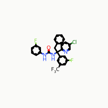 O=C(Nc1cccc(F)c1)NC(Cc1ccccc1)(c1cc(F)cc(C(F)(F)F)c1)c1ccc(Cl)cn1